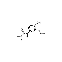 C=CCc1cc(NC(=O)N(C)C)ccc1O